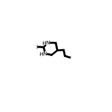 CCCC1CNC(I)NC1